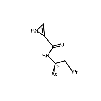 CC(=O)[C@H](CC(C)C)NC(=O)C1=CN1